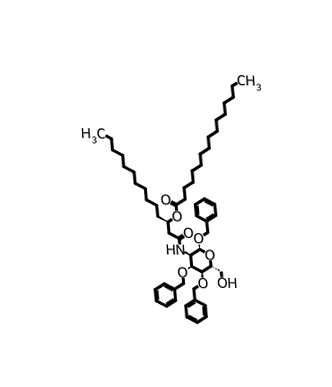 CCCCCCCCCCCCCCCC(=O)O[C@H](CCCCCCCCCCC)CC(=O)N[C@H]1[C@H](OCc2ccccc2)O[C@H](CO)[C@@H](OCc2ccccc2)[C@@H]1OCc1ccccc1